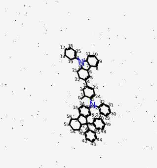 CC1CC(C2=CC3C4C=CC=CC4N(C4=CC=CCC4)C3CC2)=CC=C1N(c1ccccc1)c1ccc2c(c1)C(c1ccccc1)(c1ccccc1)C1CCCCC21